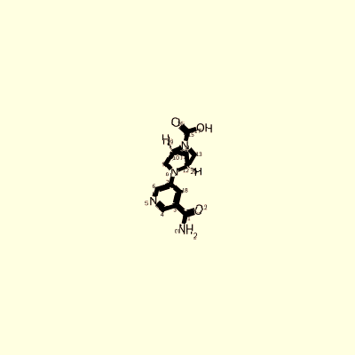 NC(=O)c1cncc(N2C[C@@H]3C[C@H]2CN3C(=O)O)c1